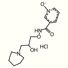 Cl.O=C(NOCC(O)CN1CCCCC1)c1ccc[n+]([O-])c1